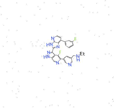 CCNCc1cncc(-c2ncc3[nH]nc(-c4nc5c(-c6cccc(F)c6)ccnc5[nH]4)c3c2F)c1